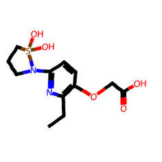 CCc1nc(N2CCCS2(O)O)ccc1OCC(=O)O